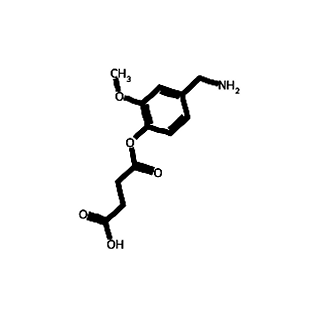 COc1cc(CN)ccc1OC(=O)CCC(=O)O